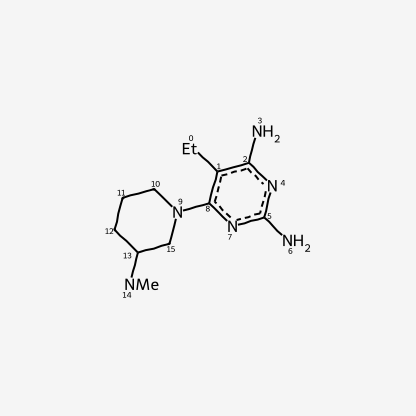 CCc1c(N)nc(N)nc1N1CCCC(NC)C1